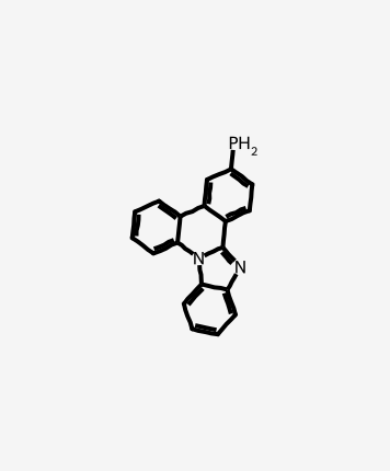 Pc1ccc2c(c1)c1ccccc1n1c3ccccc3nc21